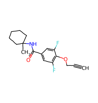 C#CCOc1c(F)cc(C(=O)NC2(C)CCCCC2)cc1F